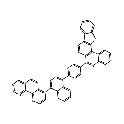 c1cnc2c(c1)ccc1c(-c3ccc(-c4ccc(-c5nc6ccccc6c6c5ccc5c7ccccc7sc56)cc4)c4ccccc34)ccnc12